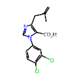 C=C(C)Cc1ncn(-c2ccc(Cl)c(Cl)c2)c1C(=O)OCC